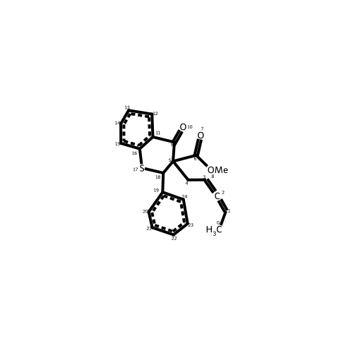 CC=C=CCC1(C(=O)OC)C(=O)c2ccccc2SC1c1ccccc1